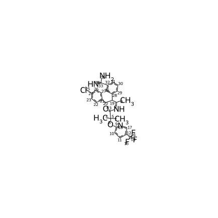 CC(NC(=O)C(C)(C)Oc1ccc(C(F)(F)F)cn1)C(Cc1ccc(Cl)cc1)c1cccc(C(=N)N)c1